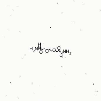 NNC(=O)COCCOCC(=O)NN